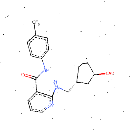 O=C(Nc1ccc(C(F)(F)F)cc1)c1cccnc1NC[C@@H]1CC[C@@H](O)C1